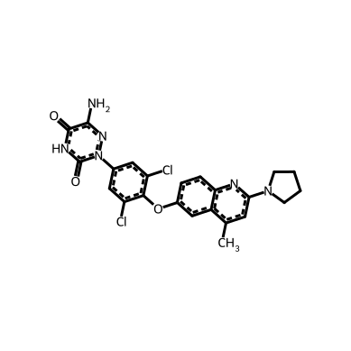 Cc1cc(N2CCCC2)nc2ccc(Oc3c(Cl)cc(-n4nc(N)c(=O)[nH]c4=O)cc3Cl)cc12